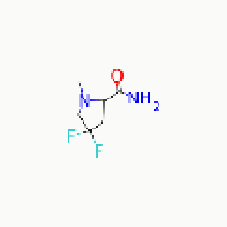 CN1CC(F)(F)CC1C(N)=O